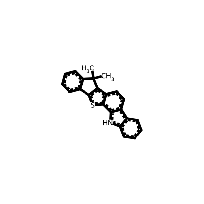 CC1(C)c2ccccc2-c2sc3c(ccc4c5ccccc5[nH]c43)c21